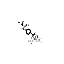 CCC(=O)Nc1ccc(C(=O)OC(C)(C)C)cc1